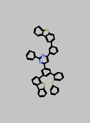 c1ccc(Sc2ccccc2-c2cc(-c3cc(-c4cccc(-c5ccc6sc7ccccc7c6c5)c4)nc(-c4ccccc4)n3)cc(-c3cccc4c3sc3ccccc34)c2)cc1